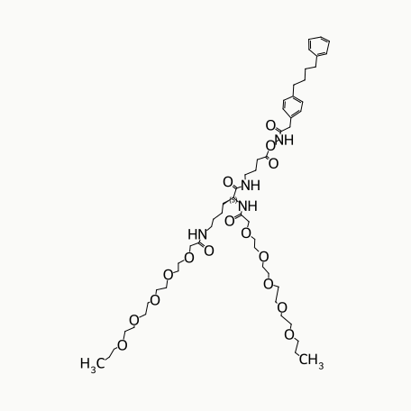 CCCOCCOCCOCCOCCOCC(=O)NCCCC[C@H](NC(=O)COCCOCCOCCOCCOCCC)C(=O)NCCCC(=O)ONC(=O)Cc1ccc(CCCCc2ccccc2)cc1